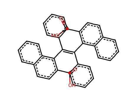 O=C(O)c1ccc2ccccc2c1C(=C(c1ccccc1)c1c(C(=O)O)ccc2ccccc12)c1ccccc1